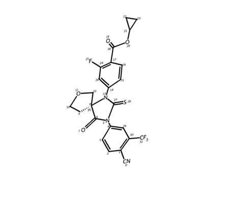 N#Cc1ccc(N2C(=O)[C@]3(CCOC3)N(c3ccc(C(=O)OC4CC4)c(F)c3)C2=S)cc1C(F)(F)F